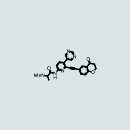 CNC(C)C(=O)Nc1ccc(-c2cncnc2)c(C#Cc2ccc3c(c2)C(=O)CCO3)n1